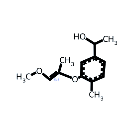 CO/C=C(\C)Oc1cc(C(C)O)ccc1C